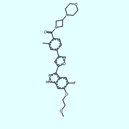 COCCOc1cc2[nH]nc(-c3cc(-c4ccc(C(=O)N5CC(N6CCOCC6)C5)c(C)c4)no3)c2cc1F